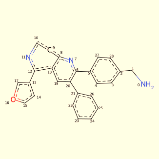 NCc1ccc(-c2nc3ccnc(-c4ccoc4)c3cc2-c2ccccc2)cc1